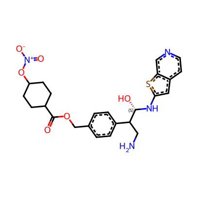 NCC(c1ccc(COC(=O)C2CCC(O[N+](=O)[O-])CC2)cc1)[C@H](O)Nc1cc2ccncc2s1